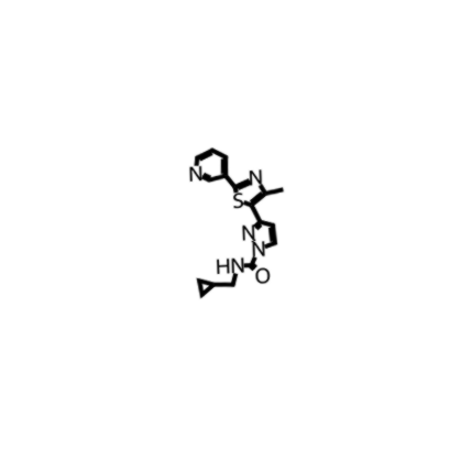 Cc1nc(-c2cccnc2)sc1-c1ccn(C(=O)NCC2CC2)n1